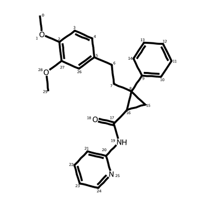 COc1ccc(CCC2(c3ccccc3)CC2C(=O)Nc2ccccn2)cc1OC